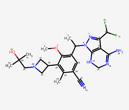 COc1c(C(C)n2nc(C(F)F)c3c2NCN=C3N)cc(C#N)c(C)c1C1CN(CC(C)(C)O)C1